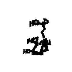 CC(O)CO.CCCC(=O)O.CCCCOCCCC